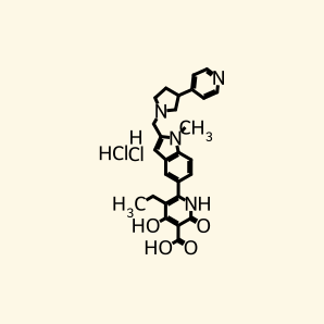 CCc1c(-c2ccc3c(c2)cc(CN2CCC(c4ccncc4)C2)n3C)[nH]c(=O)c(C(=O)O)c1O.Cl.Cl